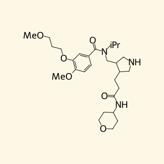 COCCCOc1cc(C(=O)N(CC2CNCC2CCC(=O)NC2CCOCC2)C(C)C)ccc1OC